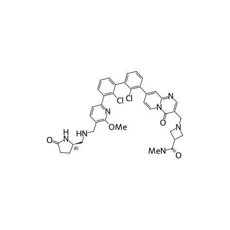 CNC(=O)C1CN(Cc2cnc3cc(-c4cccc(-c5cccc(-c6ccc(CNC[C@H]7CCC(=O)N7)c(OC)n6)c5Cl)c4Cl)ccn3c2=O)C1